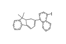 CC1(C)c2ccccc2C2=CC=C(c3ccc(I)c4ccccc34)CC21